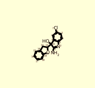 NC1=Nc2ccc(Cl)cc2C1(O)C1Cc2ccccc2O1